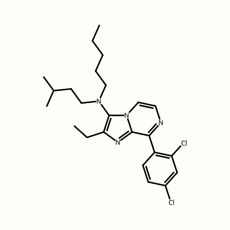 CCCCCN(CCC(C)C)c1c(CC)nc2c(-c3ccc(Cl)cc3Cl)nccn12